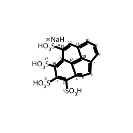 O=S(=O)(O)c1c(S(=O)(=O)O)c2ccc3cccc4cc(S(=O)(=O)O)c(c1S(=O)(=O)O)c2c34.[NaH]